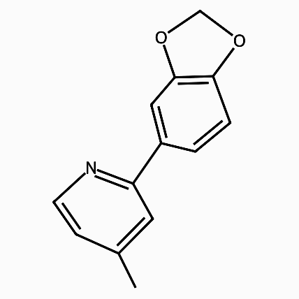 Cc1ccnc(-c2ccc3c(c2)OCO3)c1